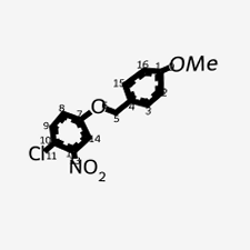 COc1ccc(COc2ccc(Cl)c([N+](=O)[O-])c2)cc1